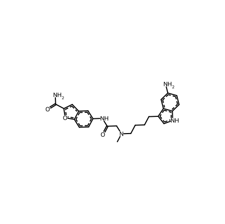 CN(CCCCc1c[nH]c2ccc(N)cc12)CC(=O)Nc1ccc2oc(C(N)=O)cc2c1